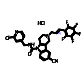 Cl.N#Cc1ccc2c(c1)c1c(n2C(=O)NCc2ccnc(Cl)c2)CCN(C/C=C/c2c(F)c(F)c(F)c(F)c2F)C1